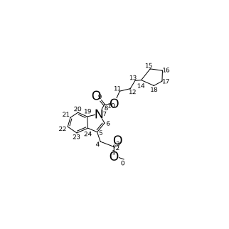 COC(=O)Cc1cn(C(=O)OCCCC2CCCC2)c2ccccc12